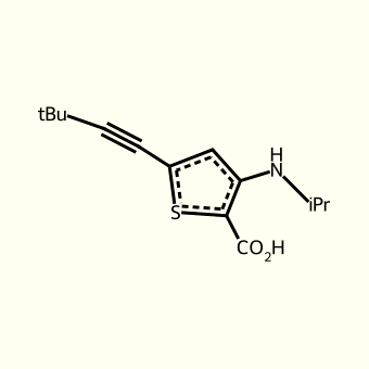 CC(C)Nc1cc(C#CC(C)(C)C)sc1C(=O)O